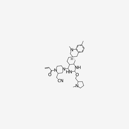 C=CC(=O)N1CCN(C2NC(OCC3CCCN3C)NC3C[C@@]4(CCC32)Cc2ccc(C)cc2N(C)C4)CC1CC#N